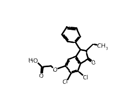 CCC1C(=O)c2c(cc(OCC(=O)O)c(Cl)c2Cl)C1c1ccccc1